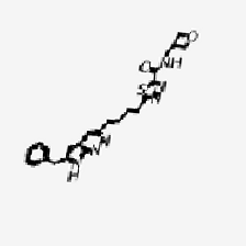 O=C(NCC1COC1)c1nnc(CCCCc2cc3cc(Cc4ccccc4)[nH]c3nn2)s1